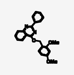 COc1ccc(COc2nc(-c3ccccc3)nc3ccccc23)c(OC)c1